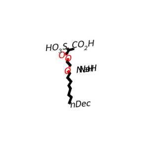 CCCCCCCCCCCCCCCCCCOCCOC(=O)C(CC(=O)O)S(=O)(=O)O.[NaH].[NaH]